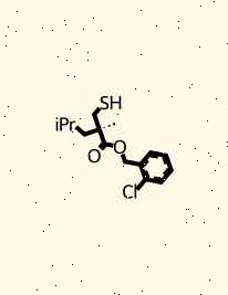 CC(C)C[C@@](C)(CS)C(=O)OCc1ccccc1Cl